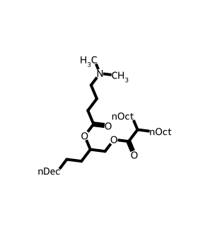 CCCCCCCCCCCCC(COC(=O)C(CCCCCCCC)CCCCCCCC)OC(=O)CCCN(C)C